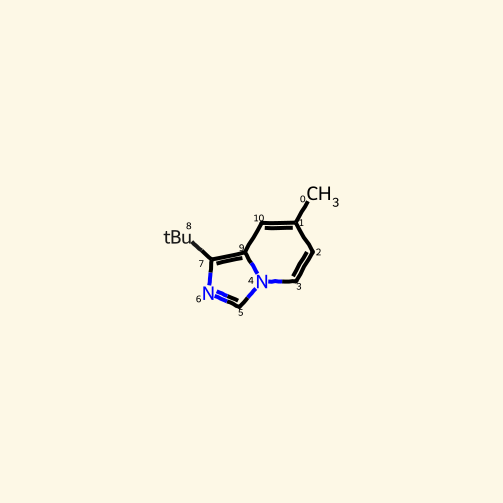 Cc1ccn2cnc(C(C)(C)C)c2c1